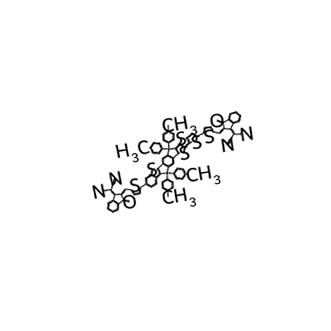 Cc1ccc(C2(c3ccc(C)cc3)c3cc4c(cc3-c3sc5cc(-c6ccc(/C=C7\C(=O)c8ccccc8C7=C(C#N)C#N)s6)ccc5c32)C(c2ccc(C)cc2)(c2ccc(C)cc2)c2c-4sc3c2sc2cc(-c4ccc(/C=C5\C(=O)c6ccccc6C5=C(C#N)C#N)s4)sc23)cc1